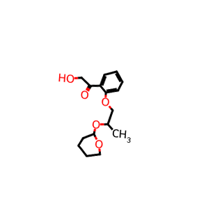 CC(COc1ccccc1C(=O)CO)OC1CCCCO1